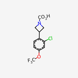 O=C(O)N1CC(c2ccc(OC(F)(F)F)cc2Cl)C1